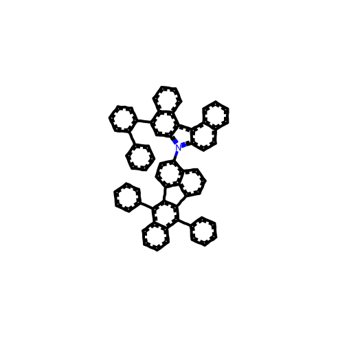 c1ccc(-c2ccccc2-c2cc3c(c4ccccc24)c2c4ccccc4ccc2n3-c2ccc3c4c(cccc24)-c2c-3c(-c3ccccc3)c3ccccc3c2-c2ccccc2)cc1